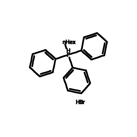 Br.CCCCCC[PH](c1ccccc1)(c1ccccc1)c1ccccc1